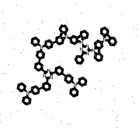 c1ccc(-c2nc(-n3c4ccccc4c4cc(-n5c6ccccc6c6ccccc65)ccc43)nc(-n3c4ccccc4c4cc(-n5c6ccccc6c6cc(-c7ccc(N(c8ccccc8)c8ccc(-c9cccc(-c%10nc(-c%11cccc(-c%12ccc(N(c%13ccccc%13)c%13ccccc%13)cc%12)c%11)nc(-c%11cccc(-c%12ccc(N(c%13ccccc%13)c%13ccccc%13)cc%12)c%11)n%10)c9)cc8)cc7)ccc65)ccc43)n2)cc1